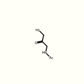 CC(=O)NCC(=O)[CH]S